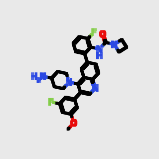 COc1cc(F)cc(-c2cnc3ccc(-c4cccc(F)c4NC(=O)N4CCC4)cc3c2N2CCC(N)CC2)c1